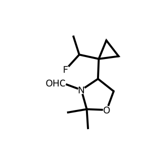 CC(F)C1(C2COC(C)(C)N2C=O)CC1